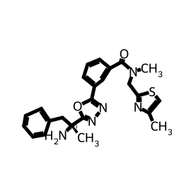 Cc1csc(CN(C)C(=O)c2cccc(-c3nnc([C@](C)(N)Cc4ccccc4)o3)c2)n1